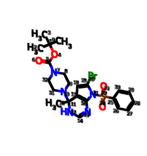 CC(C)(C)OC(=O)N1CCN(C2(C)NC=Nc3c2cc(Br)n3S(=O)(=O)c2ccccc2)CC1